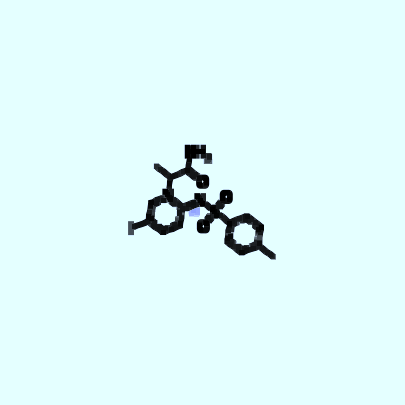 Cc1ccc(S(=O)(=O)/N=c2\ccc(I)cn2C(C)C(N)=O)cc1